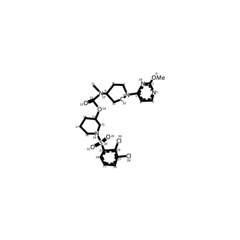 COc1nccc(N2CCC(N(C)C(=O)OC3CCCN(S(=O)(=O)c4cccc(Cl)c4Cl)C3)CC2)n1